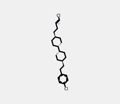 Cl/C=C/CC[C@H]1CC[C@H]([C@H]2CC[C@H](CCc3ccc(Cl)cc3)CC2)CC1